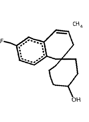 C.OC1CCC2(CC=Cc3cc(F)ccc32)CC1